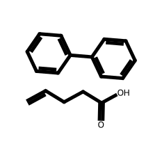 C=CCCC(=O)O.c1ccc(-c2ccccc2)cc1